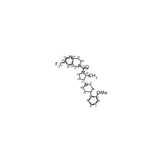 COc1ccccc1C1CCN([C@@H]2CCN(C(=O)N3CCc4ncc(C(F)(F)F)cc4C3)[C@H]2C)CC1